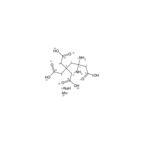 NC(N)(CC(=O)O)CC(CC(=O)O)(CC(=O)O)CC(=O)O.[Mn].[NaH]